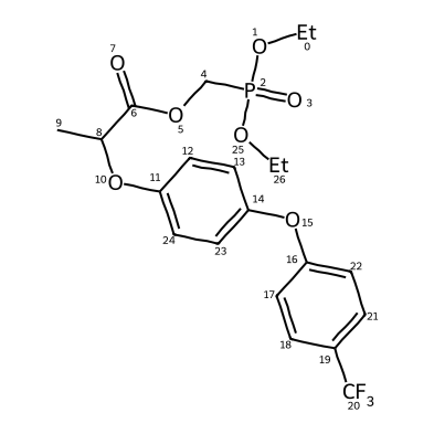 CCOP(=O)(COC(=O)C(C)Oc1ccc(Oc2ccc(C(F)(F)F)cc2)cc1)OCC